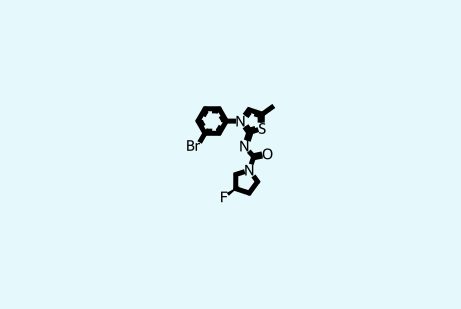 Cc1cn(-c2cccc(Br)c2)/c(=N/C(=O)N2CC[C@@H](F)C2)s1